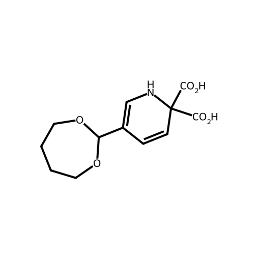 O=C(O)C1(C(=O)O)C=CC(C2OCCCCO2)=CN1